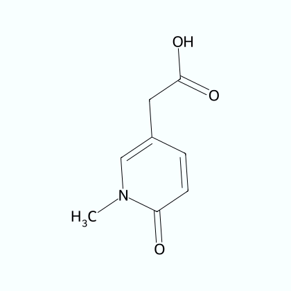 Cn1cc(CC(=O)O)ccc1=O